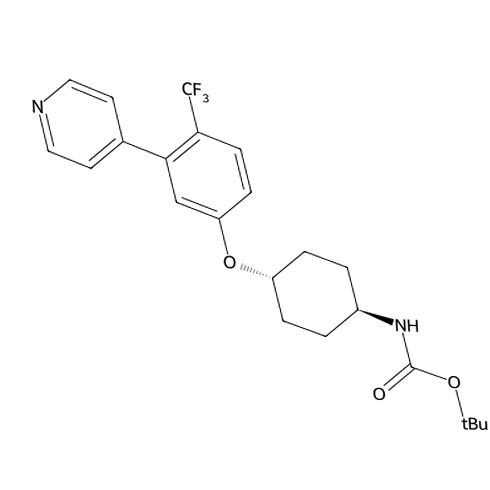 CC(C)(C)OC(=O)N[C@H]1CC[C@H](Oc2ccc(C(F)(F)F)c(-c3ccncc3)c2)CC1